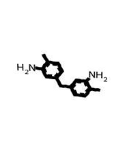 Cc1ccc(Cc2ccc(C)c(N)c2)cc1N